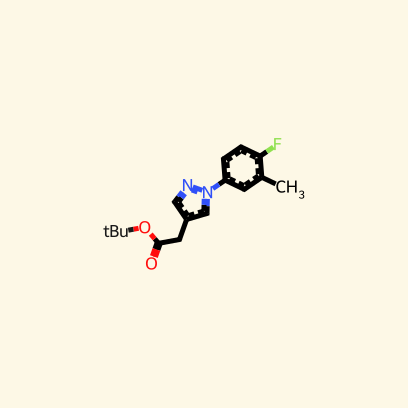 Cc1cc(-n2cc(CC(=O)OC(C)(C)C)cn2)ccc1F